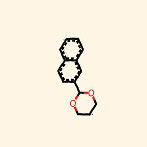 [c]1ccc2cc(C3OC[CH]CO3)ccc2c1